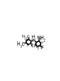 Cc1cc(C)c(Nc2ccc(F)cc2N)c(C)c1